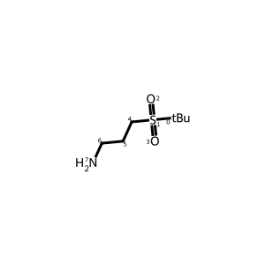 CC(C)(C)S(=O)(=O)CCCN